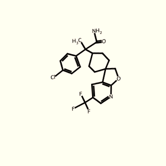 CC(C(N)=O)(c1ccc(Cl)cc1)C1CCC2(CC1)COc1ncc(C(F)(F)F)cc12